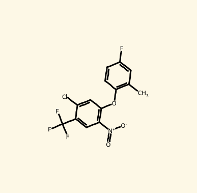 Cc1cc(F)ccc1Oc1cc(Cl)c(C(F)(F)F)cc1[N+](=O)[O-]